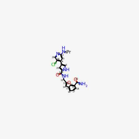 CC(C)Nc1cc(-c2c[nH]c(C(=O)NCc3cc4cccc(C(N)=O)c4o3)c2)c(Cl)cn1